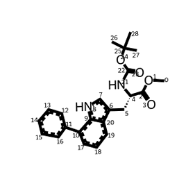 COC(=O)[C@H](Cc1c[nH]c2c(-c3ccccc3)cccc12)NC(=O)OC(C)(C)C